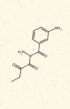 CCC(=O)C(=O)N(N)C(=O)c1[c]ccc(N)c1